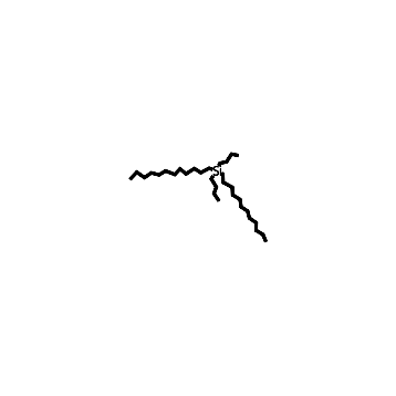 CCCCCCCCCCCC[Si](CCCC)(CCCC)CCCCCCCCCCCC